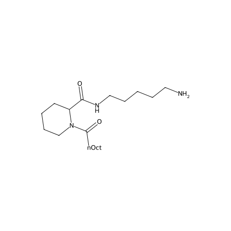 CCCCCCCCC(=O)N1CCCCC1C(=O)NCCCCCN